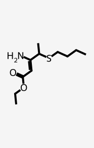 CCCCSC(C)/C(N)=C/C(=O)OCC